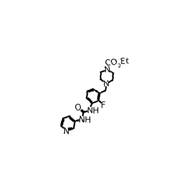 CCOC(=O)N1CCN(Cc2cccc(NC(=O)Nc3cccnc3)c2F)CC1